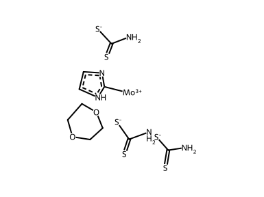 C1COCCO1.NC(=S)[S-].NC(=S)[S-].NC(=S)[S-].[Mo+3][c]1ncc[nH]1